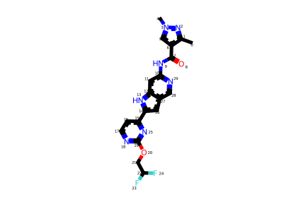 Cc1nn(C)cc1C(=O)Nc1cc2[nH]c(-c3ccnc(OCC(F)F)n3)cc2cn1